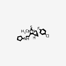 Cn1c(CCNC2CCCC2)c2n(c1=S)C[C@@]1(c3cc(Cl)ccc3F)C[C@@H]21